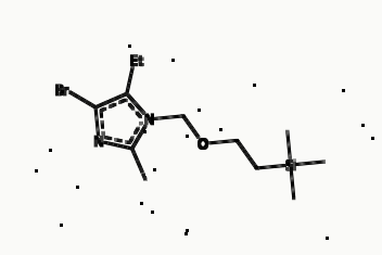 CCc1c(Br)nc(C)n1COCC[Si](C)(C)C